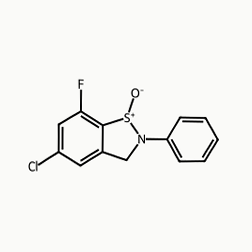 [O-][S+]1c2c(F)cc(Cl)cc2CN1c1ccccc1